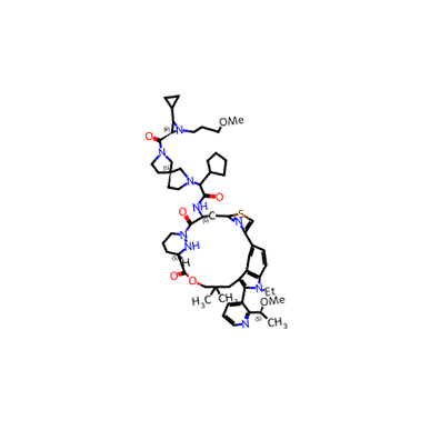 CCn1c(-c2cccnc2[C@H](C)OC)c2c3cc(ccc31)-c1csc(n1)C[C@H](NC(=O)C(C1CCCC1)N1CC[C@]3(CCN(C(=O)[C@H]4C(C5CC5)N4CCCOC)C3)C1)C(=O)N1CCC[C@H](N1)C(=O)OCC(C)(C)C2